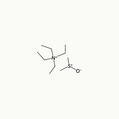 CC[N+](CC)(CC)CC.C[S+](C)[O-]